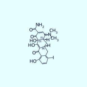 CN(C)[C@@H]1C=C(C(N)=O)C(=O)[C@@]2(O)C(O)=C3C(=O)c4c(O)ccc(I)c4C[C@H]3C[C@@H]12